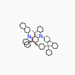 C#Cc1c(/C=C(\C)c2ccccc2N(C2=CC3=C(CC2)c2ccccc2C3(c2ccccc2)c2ccccc2)c2ccc(-c3ccccc3)cc2)n(-c2ccc3ccccc3c2)c2ccccc12